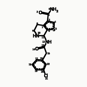 NC(=O)c1csc2c1CCNC2NC(=O)Cc1cccc(Cl)c1